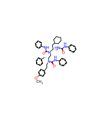 COc1ccc(CCN(C(=O)Nc2ccccc2)[C@H](Cc2ccccc2)CN(C(=O)Nc2ccccc2)[C@@H](CNC(=O)Nc2ccccc2)CC2CCCCC2)cc1